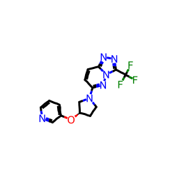 FC(F)(F)c1nnc2ccc(N3CC[C@@H](Oc4cccnc4)C3)nn12